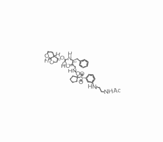 CC(=O)NCCNc1cccc(S(=O)(=O)C2(ONC[C@@H](O)[C@H](Cc3ccccc3)NC(=O)O[C@@H]3CO[C@@H]4OCC[C@@H]43)CCCC2)c1